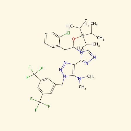 CC(C)[Si](OC(Cc1ccccc1Cl)n1cnnc1-c1nnn(Cc2cc(C(F)(F)F)cc(C(F)(F)F)c2)c1N(C)C)(C(C)C)C(C)C